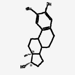 CC(C)(C)c1cc2c(cc1O)CCC1C2CC[C@@]2(C)C1CC[C@@H]2O